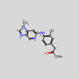 CCc1cc(CC(=O)OC)ccc1Nc1cc2c(cn1)ncn2C